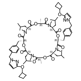 CC(C)C[C@H]1C(=O)O[C@H](Cc2ccc(Cn3ccc(OC4CCC4)n3)cc2)C(=O)N(C)[C@@H](CC(C)C)C(=O)O[C@H](C)C(=O)N(C)[C@@H](CC(C)C)C(=O)O[C@H](Cc2ccc(Cn3ccc(OC4CCC4)n3)cc2)C(=O)N(C)[C@@H](CC(C)C)C(=O)O[C@H](C)C(=O)N1C